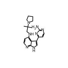 CC(C)(CNc1ccnc2[nH]cc(-c3ccnc(N)n3)c12)N1CCCC1